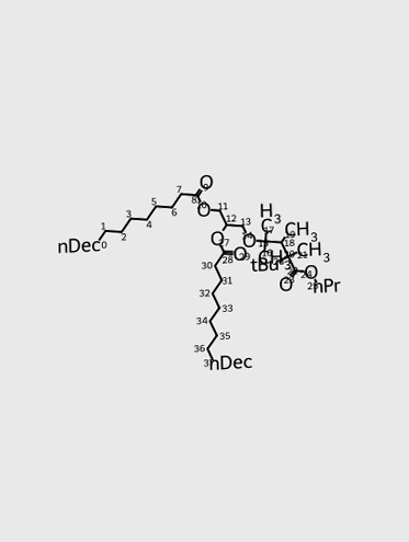 CCCCCCCCCCCCCCCCCC(=O)OCC(COC(C)(C)C(C)C(C)(C(=O)OCCC)C(C)(C)C)OC(=O)CCCCCCCCCCCCCCCCC